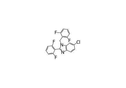 Fc1cccc(F)c1Cn1c(-c2c(F)cccc2F)nc2ccc(Cl)cc21